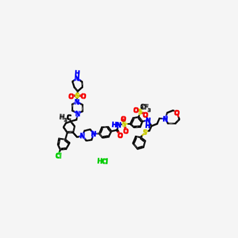 CC1(CN2CCN(S(=O)(=O)C3CCNCC3)CC2)CCC(c2ccc(Cl)cc2)=C(CN2CCN(c3ccc(C(=O)NS(=O)(=O)c4ccc(NC(CCN5CCCOCC5)CSc5ccccc5)c(S(=O)(=O)C(F)(F)F)c4)cc3)CC2)C1.Cl